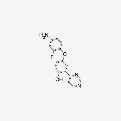 Nc1ccc(Oc2ccc(O)c(-c3ccncn3)c2)c(F)c1